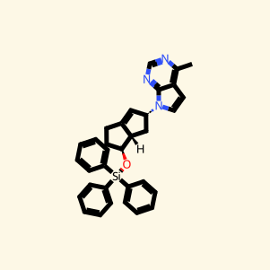 Cc1ncnc2c1ccn2[C@H]1C=C2CC[C@H](O[Si](c3ccccc3)(c3ccccc3)c3ccccc3)[C@H]2C1